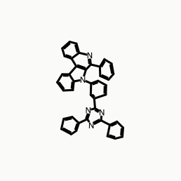 c1ccc(-c2nc(-c3ccccc3)nc(-c3cccc(-n4c5ccccc5c5c6ccccc6nc(-c6ccccc6)c54)c3)n2)cc1